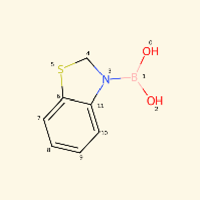 OB(O)N1CSc2ccccc21